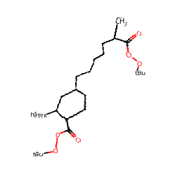 CCCCCCC1CC(CCCCCC(C)C(=O)OOC(C)(C)C)CCC1C(=O)OOC(C)(C)C